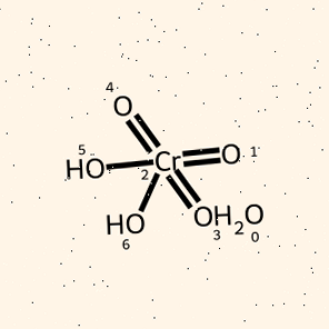 O.[O]=[Cr](=[O])(=[O])([OH])[OH]